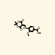 COC(=O)c1cc(OC)c(NC=C2C(=O)OC(C)(C)OC2=O)cn1